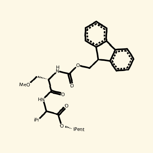 CCC[C@@H](C)OC(=O)C(NC(=O)[C@H](COC)NC(=O)OCC1c2ccccc2-c2ccccc21)C(C)C